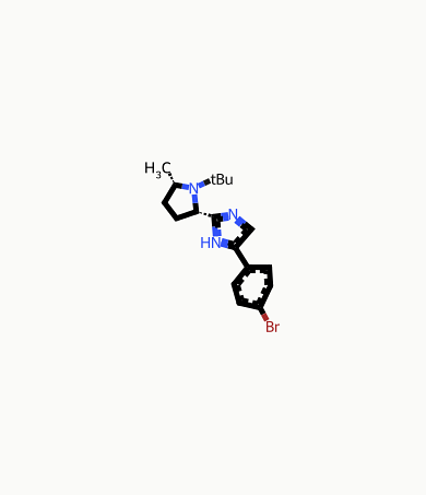 C[C@H]1CC[C@@H](c2ncc(-c3ccc(Br)cc3)[nH]2)N1C(C)(C)C